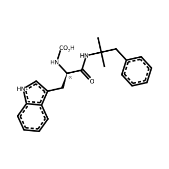 CC(C)(Cc1ccccc1)NC(=O)[C@@H](Cc1c[nH]c2ccccc12)NC(=O)O